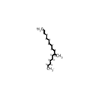 [CH2]C=CCCCCCCCC(C)CCCCC[CH2]